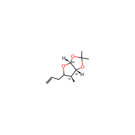 C=CCC1O[C@@H]2OC(C)(C)O[C@@H]2[C@H]1C